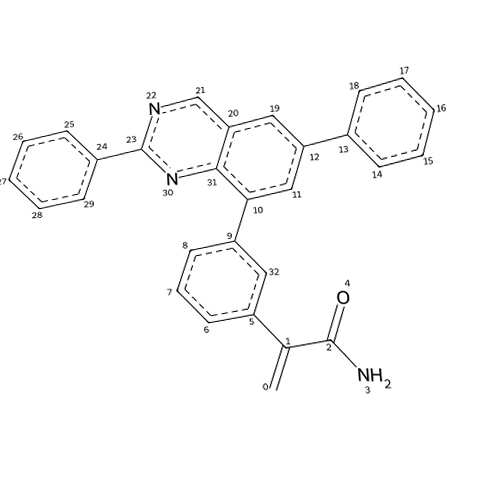 C=C(C(N)=O)c1cccc(-c2cc(-c3ccccc3)cc3cnc(-c4ccccc4)nc23)c1